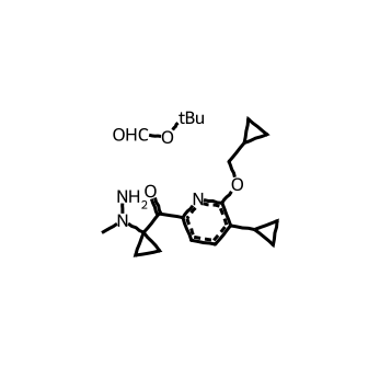 CC(C)(C)OC=O.CN(N)C1(C(=O)c2ccc(C3CC3)c(OCC3CC3)n2)CC1